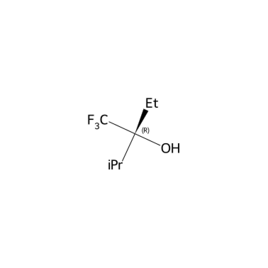 CC[C@@](O)(C(C)C)C(F)(F)F